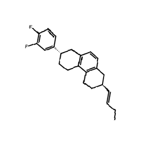 CC/C=C/[C@H]1CCc2c(ccc3c2CC[C@H](c2ccc(F)c(F)c2)C3)C1